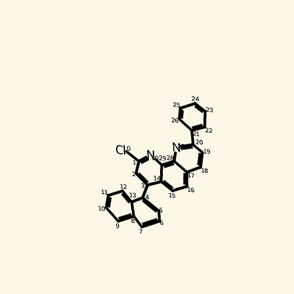 Clc1cc(-c2cccc3ccccc23)c2ccc3ccc(-c4ccccc4)nc3c2n1